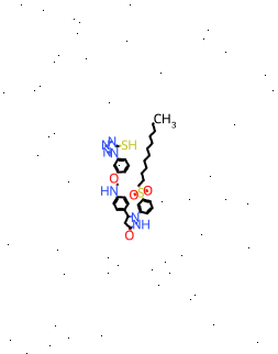 CCCCCCCCCCCCS(=O)(=O)c1cccc(N2NC(=O)CC2c2ccc(NCOc3cccc(-n4nnnc4S)c3)cc2)c1